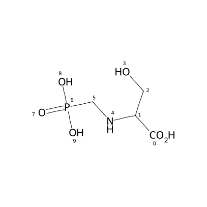 O=C(O)C(CO)NCP(=O)(O)O